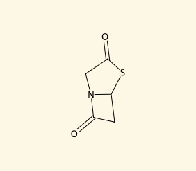 O=C1CN2C(=O)CC2S1